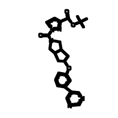 CC(C)(C)OC(=O)c1ccn(C(=O)N2CC3CC(Oc4cccc(-c5cncnc5)c4)CC3C2)n1